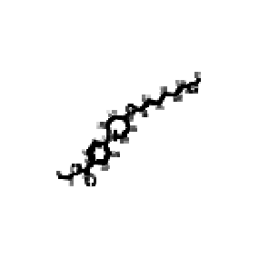 CCOC(=O)c1ccc(N2CCC(OCCCCCCOC)CC2)cc1